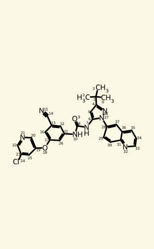 CC(C)(C)c1cc(NC(=O)Nc2cc(C#N)cc(Oc3cncc(Cl)c3)c2)n(-c2ccc3ncccc3c2)n1